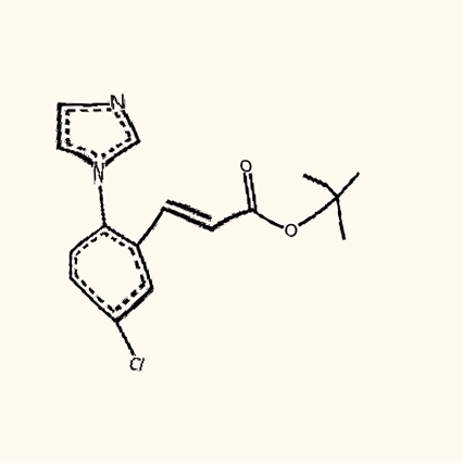 CC(C)(C)OC(=O)C=Cc1cc(Cl)ccc1-n1ccnc1